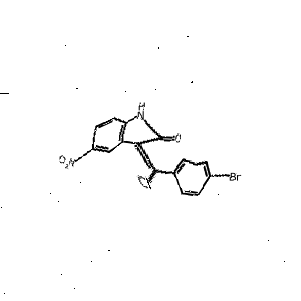 O=C1Nc2ccc([N+](=O)[O-])cc2/C1=C(\Cl)c1ccc(Br)cc1